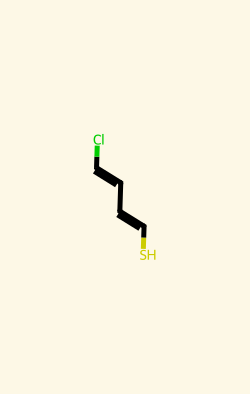 SC=CC=CCl